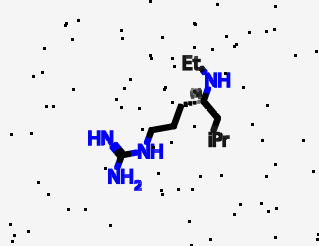 CCN[C@@H](CCCNC(=N)N)CC(C)C